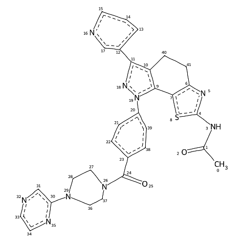 CC(=O)Nc1nc2c(s1)-c1c(c(-c3cccnc3)nn1-c1ccc(C(=O)N3CCN(c4cnccn4)CC3)cc1)CC2